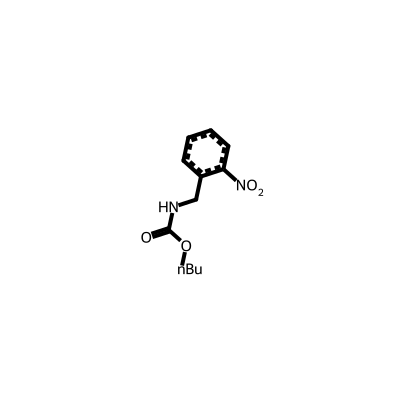 CCCCOC(=O)NCc1ccccc1[N+](=O)[O-]